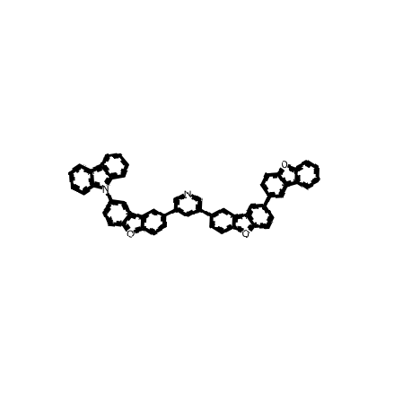 c1ccc2c(c1)oc1ccc(-c3ccc4oc5ccc(-c6cncc(-c7ccc8oc9ccc(-n%10c%11ccccc%11c%11ccccc%11%10)cc9c8c7)c6)cc5c4c3)cc12